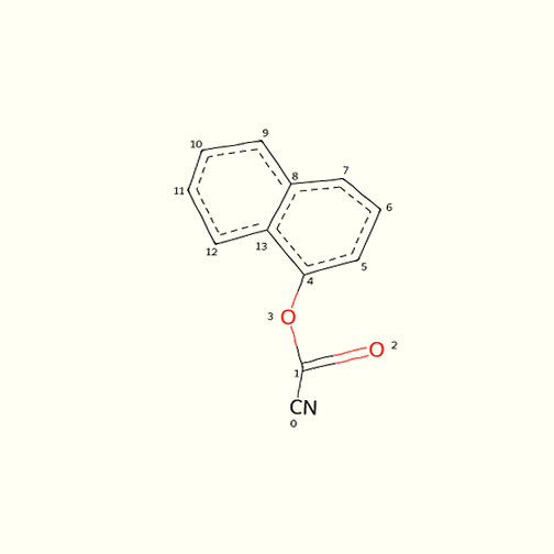 N#CC(=O)Oc1cccc2ccccc12